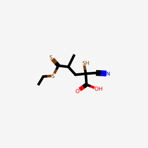 CCSC(=S)C(C)CC(S)(C#N)C(=O)O